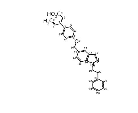 C=C[C@@H](CC(=O)O)c1ccc(OCc2ccc3c(cnn3CCc3ccccc3)c2)cc1